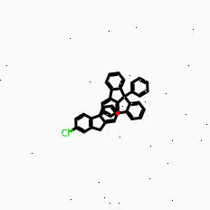 Clc1ccc2c(c1)Cc1cc(-c3ccccc3C3(c4ccccc4)c4ccccc4-c4ccccc43)ccc1-2